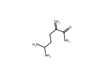 C=C(CCC(N)N)C(N)=O